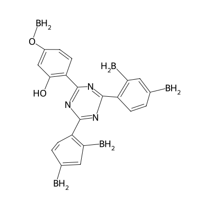 BOc1ccc(-c2nc(-c3ccc(B)cc3B)nc(-c3ccc(B)cc3B)n2)c(O)c1